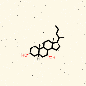 CCC[C@@H](C)[C@H]1CCC2C3C(CC[C@@]21C)[C@@]1(C)CC[C@@H](O)C[C@H]1C[C@H]3O